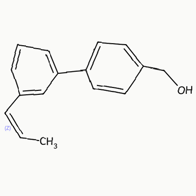 C/C=C\c1cccc(-c2ccc(CO)cc2)c1